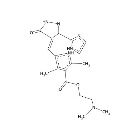 Cc1[nH]c(/C=C2/C(=O)NN=C2c2ncc[nH]2)c(C)c1C(=O)OCCN(C)C